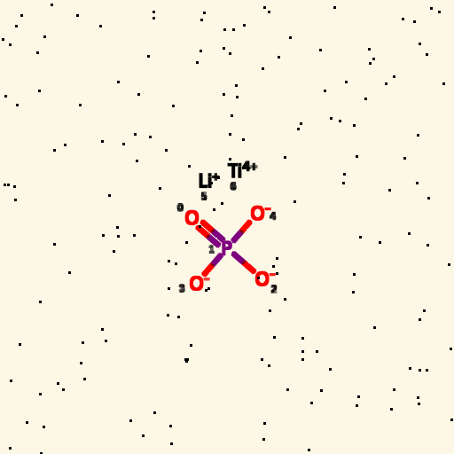 O=P([O-])([O-])[O-].[Li+].[Ti+4]